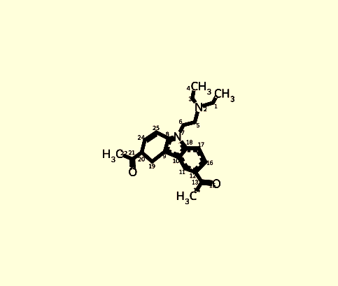 CCN(CC)CCn1c2c(c3cc(C(C)=O)ccc31)CC(C(C)=O)C=C2